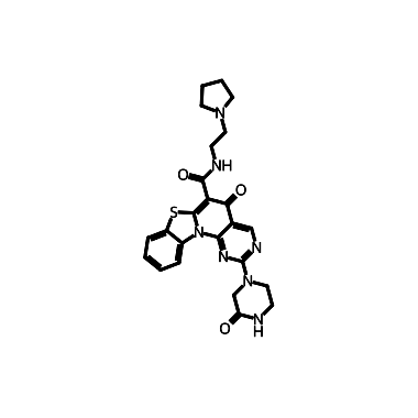 O=C1CN(c2ncc3c(=O)c(C(=O)NCCN4CCCC4)c4sc5ccccc5n4c3n2)CCN1